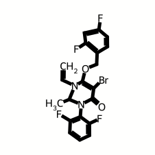 C=CN1C(OCc2ccc(F)cc2F)=C(Br)C(=O)N(c2c(F)cccc2F)C1C